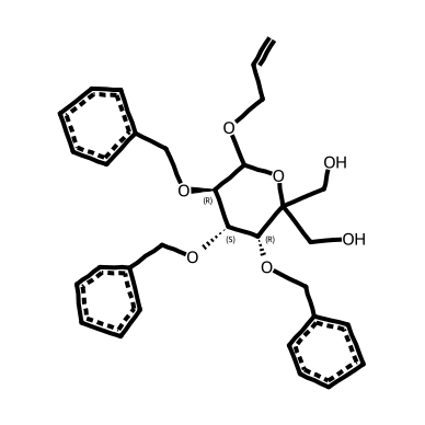 C=CCOC1OC(CO)(CO)[C@H](OCc2ccccc2)[C@H](OCc2ccccc2)[C@H]1OCc1ccccc1